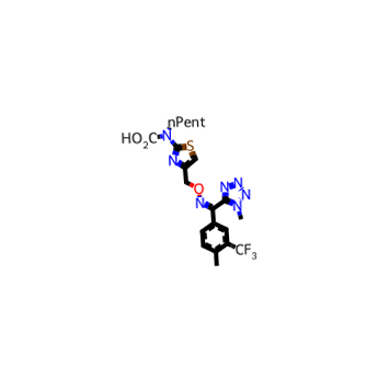 CCCCCN(C(=O)O)c1nc(CON=C(c2ccc(C)c(C(F)(F)F)c2)c2nnnn2C)cs1